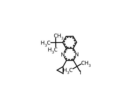 CC(C)(C)c1cccc2nc(C(C)(C)I)c(C3CC3)nc12